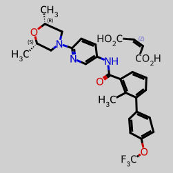 Cc1c(C(=O)Nc2ccc(N3C[C@@H](C)O[C@@H](C)C3)nc2)cccc1-c1ccc(OC(F)(F)F)cc1.O=C(O)/C=C\C(=O)O